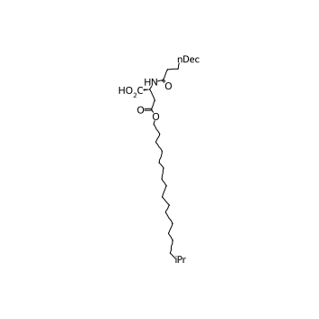 CCCCCCCCCCCCC(=O)N[C@@H](CC(=O)OCCCCCCCCCCCCCCCC(C)C)C(=O)O